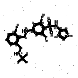 CC(C)(C)NCc1cccc(F)c1CNc1cc(F)c(S(=O)(=O)Nc2cscn2)c(F)c1